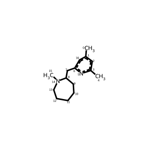 Cc1cc(C)nc(CC2CCCCCN2C)c1